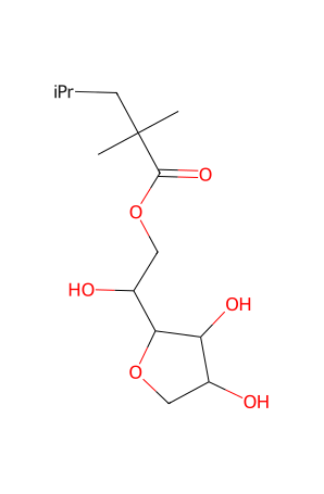 CC(C)CC(C)(C)C(=O)OCC(O)C1OCC(O)C1O